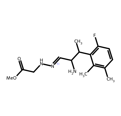 COC(=O)CN/N=C/C(N)C(C)c1c(F)ccc(C)c1C